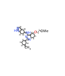 COCCOc1ccc2nc(-c3cccc(C)c3)nc(Nc3ccc4[nH]ncc4c3)c2c1